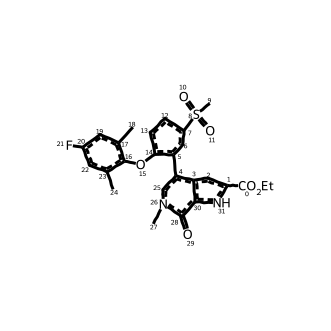 CCOC(=O)c1cc2c(-c3cc(S(C)(=O)=O)ccc3Oc3c(C)cc(F)cc3C)cn(C)c(=O)c2[nH]1